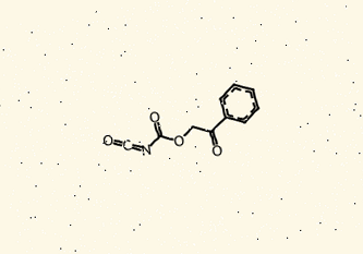 O=C=NC(=O)OCC(=O)c1ccccc1